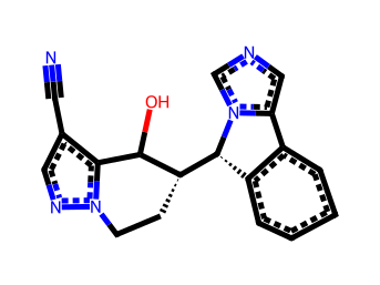 N#Cc1cnn2c1C(O)[C@H]([C@H]1c3ccccc3-c3cncn31)CC2